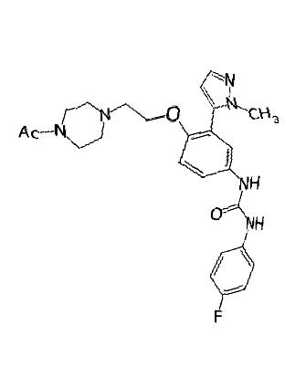 CC(=O)N1CCN(CCOc2ccc(NC(=O)Nc3ccc(F)cc3)cc2-c2ccnn2C)CC1